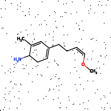 CO/C=C\CCC1=CCC(N)C(C)=C1